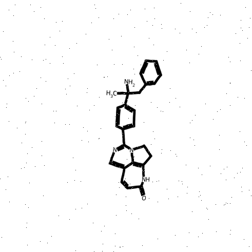 CC(N)(Cc1ccccc1)c1ccc(C2=NC=C3C=CC(=O)NC4=C3N2CC4)cc1